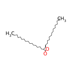 CCCCCCCCCCCCCCC=C1OC(=O)C1CCCCCCCCCCCCCCCC